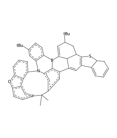 CC(C)(C)c1ccc2c(c1)N1c3cc(cc4c3B2C2=CC(C(C)(C)C)CC3C5=C(C=C4C23)C2=CC=CCC2S5)C(C)(C)c2ccc3oc4cccc1c4c3c2